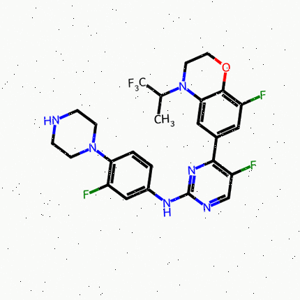 CC(N1CCOc2c(F)cc(-c3nc(Nc4ccc(N5CCNCC5)c(F)c4)ncc3F)cc21)C(F)(F)F